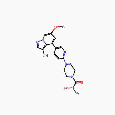 CCOc1cc(-c2ccc(N3CCN(C(=O)C(O)C(C)C)CC3)nc2)c2c(C#N)cnn2c1